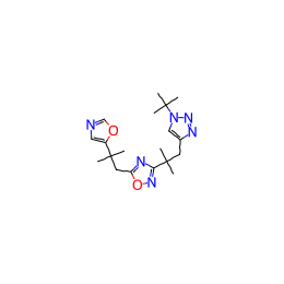 CC(C)(Cc1cn(C(C)(C)C)nn1)c1noc(CC(C)(C)c2cnco2)n1